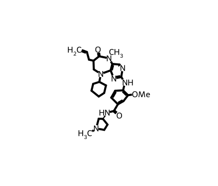 C=CCC1CN(C2CCCCC2)c2nc(Nc3ccc(C(=O)N[C@H]4CCN(C)C4)cc3OC)ncc2N(C)C1=O